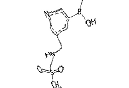 CS(=O)(=O)NCc1cncc(B(O)O)c1